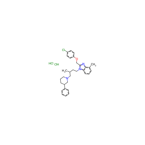 Cc1cccc2c1nc(COc1ccc(Cl)cc1)n2CCC(C)CN1CCCC(c2ccccc2)C1.Cl.Cl